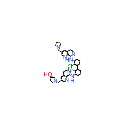 O[C@@H]1CCN(Cc2cnc3c(Nc4cccc(-c5cccc(Nc6nccc7cc(CN8CCCC8)cnc67)c5Cl)c4Cl)nccc3c2)C1